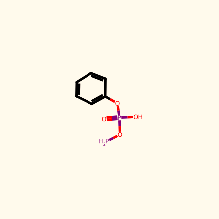 O=P(O)(OP)Oc1ccccc1